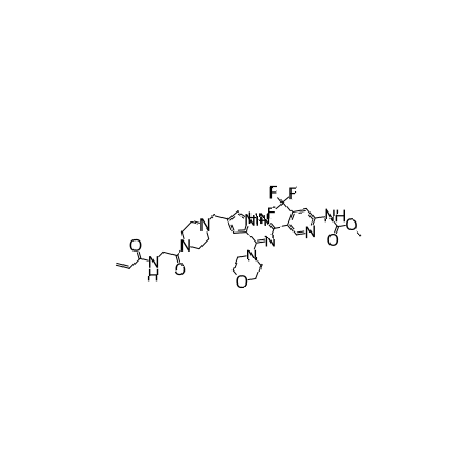 C=CC(=O)NCC(=O)N1CCN(Cc2c[nH]c(/C(=N\C(=N)c3cnc(NC(=O)OC)cc3C(F)(F)F)N3CCOCC3)c2)CC1